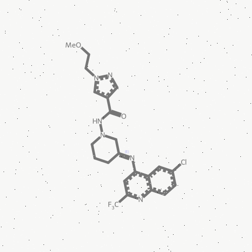 COCCn1cc(C(=O)NN2CCC/C(=N\c3cc(C(F)(F)F)nc4ccc(Cl)cc34)C2)cn1